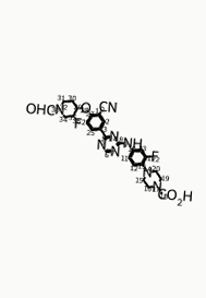 N#Cc1cc(-c2ncnc(Nc3ccc(N4CCN(C(=O)O)CC4)c(F)c3)n2)ccc1O[C@H]1CCN(C=O)C[C@H]1F